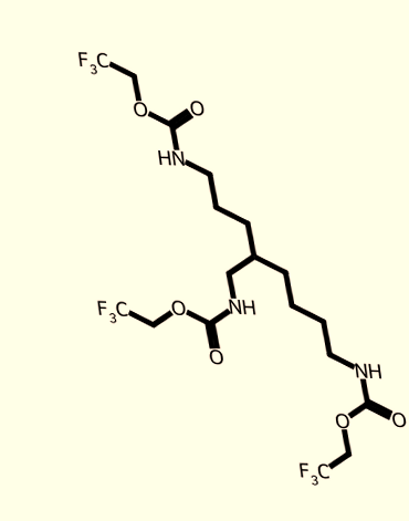 O=C(NCCCCC(CCCNC(=O)OCC(F)(F)F)CNC(=O)OCC(F)(F)F)OCC(F)(F)F